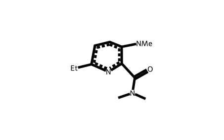 CCc1ccc(NC)c(C(=O)N(C)C)n1